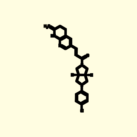 C=C1CCc2cc(/C=C/C(=O)N3C[C@@H]4CN(c5ccc(Cl)cc5)C[C@@H]4C3)cnc2N1